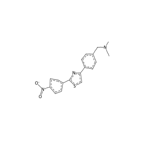 CN(C)Cc1ccc(-c2csc(-c3ccc([N+](=O)[O-])cc3)n2)cc1